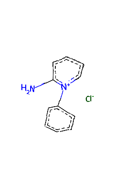 Nc1cccc[n+]1-c1ccccc1.[Cl-]